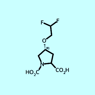 O=C(O)C1C[C@@H](OCC(F)F)CN1C(=O)O